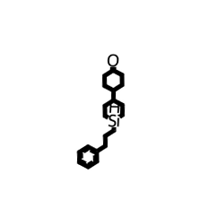 O=C1CCC(C2CC[SiH](CCCc3ccccc3)CC2)CC1